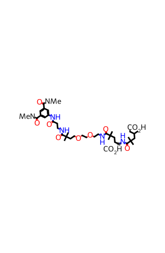 CNC(=O)c1cc(NC(=O)CCNC(=O)C(C)(C)CCOCCOCCNC(=O)C(C)(C)CC[C@H](NC(=O)C(C)(C)CC(C)CC(=O)O)C(=O)O)cc(C(=O)NC)c1